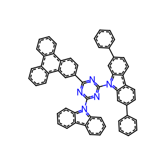 c1ccc(-c2ccc3c4ccc(-c5ccccc5)cc4n(-c4nc(-c5ccc6c7ccccc7c7ccccc7c6c5)nc(-n5c6ccccc6c6ccccc65)n4)c3c2)cc1